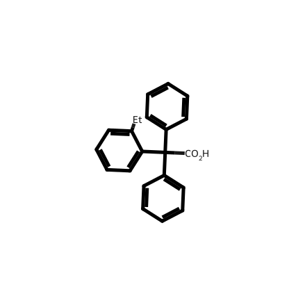 CCc1ccccc1C(C(=O)O)(c1ccccc1)c1ccccc1